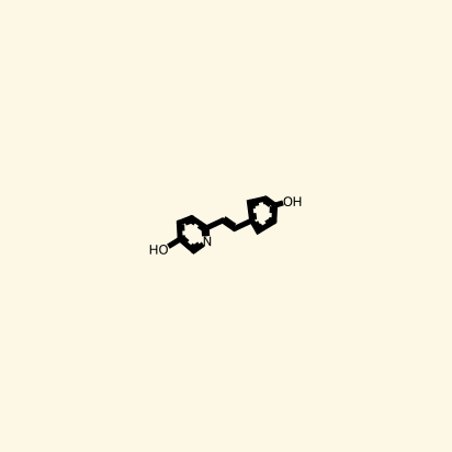 Oc1ccc(/C=C/c2ccc(O)cn2)cc1